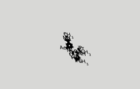 CC(=O)c1nn(CC(=O)N2[C@H](C(=O)N[C@@H](C)CC(C)C)C[C@@]3(C)C[C@@H]23)c2ccc(-c3cnc(C)nc3)cc12